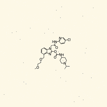 COCCOCc1cccc2c1nc(OC(=O)NC1CCN(C(C)C)CC1)n2CC(=O)Nc1ccc(Cl)cn1